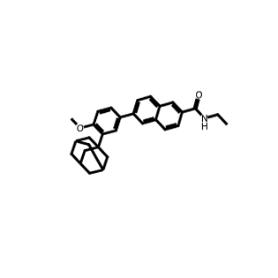 CCNC(=O)c1ccc2cc(-c3ccc(OC)c(C45CC6CC(CC(C6)C4)C5)c3)ccc2c1